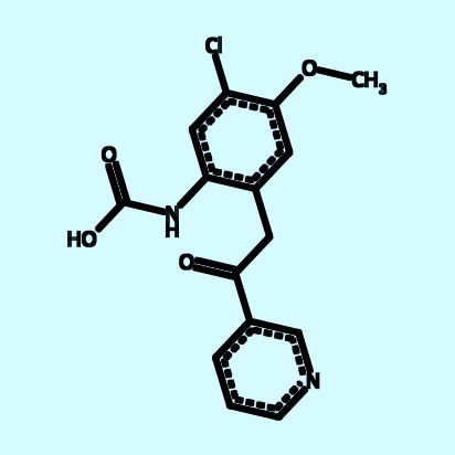 COc1cc(CC(=O)c2cccnc2)c(NC(=O)O)cc1Cl